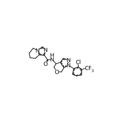 O=C(NC1COCc2c1cnn2-c1cccc(C(F)(F)F)c1Cl)c1ncn2c1CCCC2